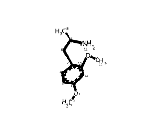 COc1ccc(C[C@@H](C)N)c(OC)c1